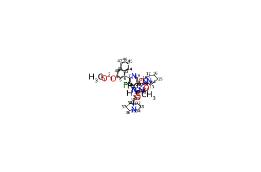 COCOc1cc(-c2ncc3c(N4CC5CCC(C4)N5C(=O)OC(C)(C)C)nc(OCC45CCCN4CCC5)nc3c2F)c2ccccc2c1